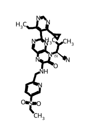 CCc1ncnc(C2CC2)c1-c1ncc2nc(NCc3ccc(S(=O)(=O)CC)cn3)c(=O)n([C@H](C#N)C(C)C)c2n1